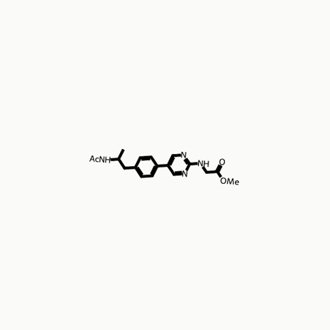 COC(=O)CNc1ncc(-c2ccc(CC(C)NC(C)=O)cc2)cn1